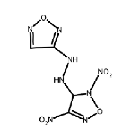 O=[N+]([O-])C1=NON([N+](=O)[O-])C1NNc1cnon1